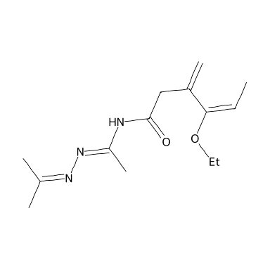 C=C(CC(=O)N/C(C)=N/N=C(C)C)/C(=C\C)OCC